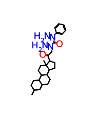 CC1CCC2C(CCC3C2CCC2(C)C(C(=O)CN(N)C(=O)N(N)c4ccccc4)CCC32)C1